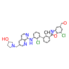 Cc1c(-c2nc3cc(C=O)cc(Cl)c3o2)cccc1-c1cccc(Nc2nccc3cc(CN4CCC(O)C4)cnc23)c1Cl